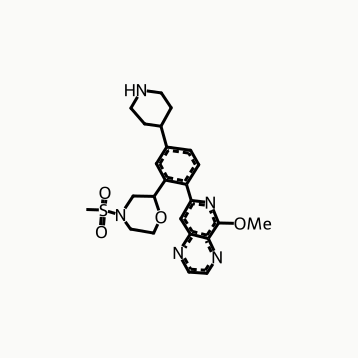 COc1nc(-c2ccc(C3CCNCC3)cc2C2CN(S(C)(=O)=O)CCO2)cc2nccnc12